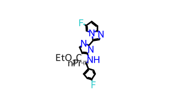 CCC[C@H](Nc1nc(-c2cnc3ccc(F)cn23)ncc1C(=O)OCC)c1ccc(F)cc1